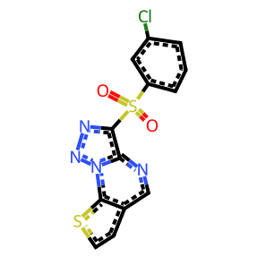 O=S(=O)(c1cccc(Cl)c1)c1nnn2c1ncc1ccsc12